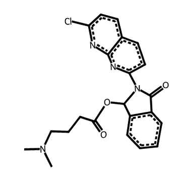 CN(C)CCCC(=O)OC1c2ccccc2C(=O)N1c1ccc2ccc(Cl)nc2n1